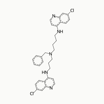 Clc1ccc2c(NCCCCN(CCCNc3ccnc4cc(Cl)ccc34)Cc3ccccc3)ccnc2c1